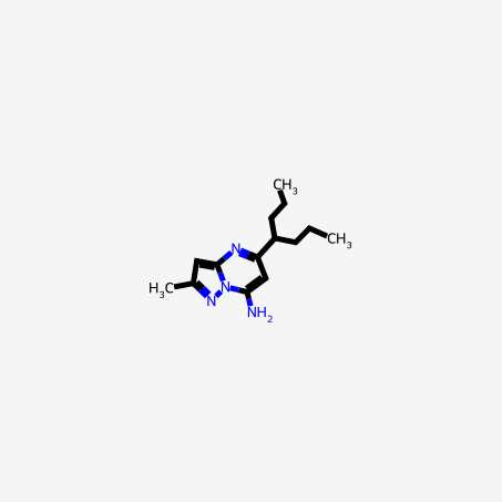 CCCC(CCC)c1cc(N)n2nc(C)cc2n1